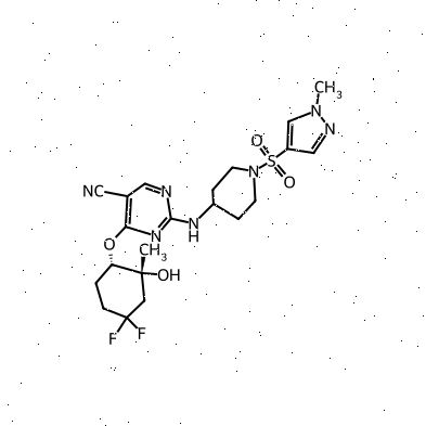 Cn1cc(S(=O)(=O)N2CCC(Nc3ncc(C#N)c(O[C@H]4CCC(F)(F)C[C@@]4(C)O)n3)CC2)cn1